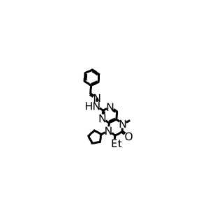 CCC1C(=O)N(C)c2cnc(NN=Cc3ccccc3)nc2N1C1CCCC1